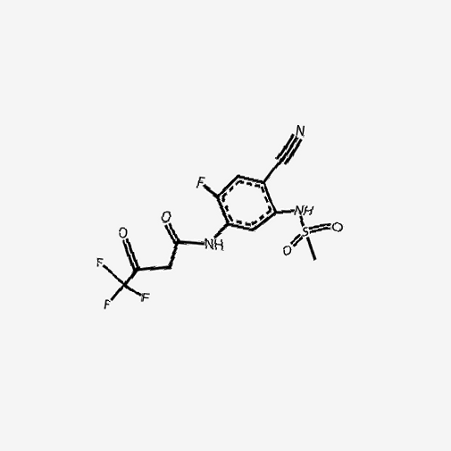 CS(=O)(=O)Nc1cc(NC(=O)CC(=O)C(F)(F)F)c(F)cc1C#N